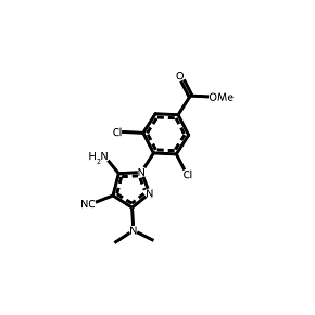 COC(=O)c1cc(Cl)c(-n2nc(N(C)C)c(C#N)c2N)c(Cl)c1